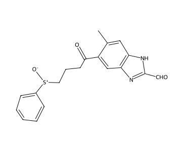 Cc1cc2[nH]c(C=O)nc2cc1C(=O)CCC[S+]([O-])c1ccccc1